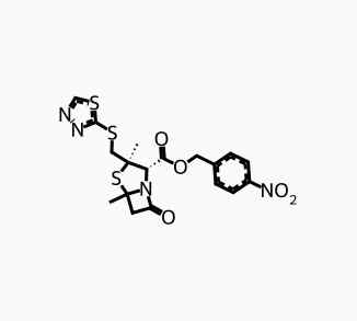 CC12CC(=O)N1[C@@H](C(=O)OCc1ccc([N+](=O)[O-])cc1)[C@](C)(CSc1nncs1)S2